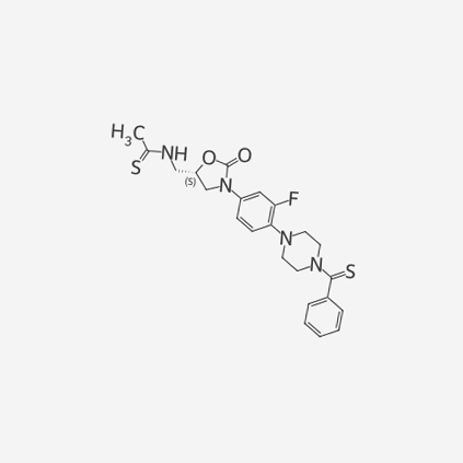 CC(=S)NC[C@H]1CN(c2ccc(N3CCN(C(=S)c4ccccc4)CC3)c(F)c2)C(=O)O1